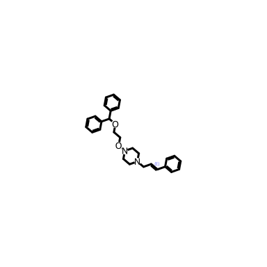 C(=C\c1ccccc1)/CN1CCN(OCCOC(c2ccccc2)c2ccccc2)CC1